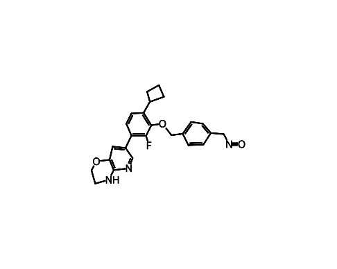 O=NCc1ccc(COc2c(C3CCC3)ccc(-c3cnc4c(c3)OCCN4)c2F)cc1